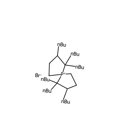 CCCCC1CC[P+]2(CCC(CCCC)C2(CCCC)CCCC)C1(CCCC)CCCC.[Br-]